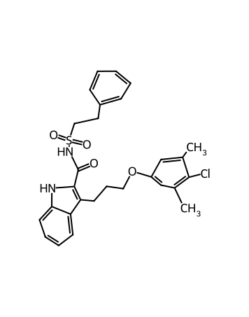 Cc1cc(OCCCc2c(C(=O)NS(=O)(=O)CCc3ccccc3)[nH]c3ccccc23)cc(C)c1Cl